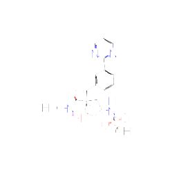 CN(O)C(=O)[C@@]1(Cc2cccc(-c3ncccn3)c2)CC[C@H](NS(C)(=O)=O)C1